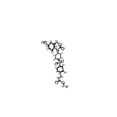 O=C(CCc1ccc(S(=O)(=O)N2CCC(N3C(=O)OCc4cc(O)ccc43)CC2)cc1)OCF